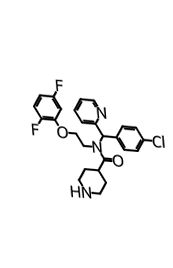 O=C(C1CCNCC1)N(CCOc1cc(F)ccc1F)C(c1ccc(Cl)cc1)c1ccccn1